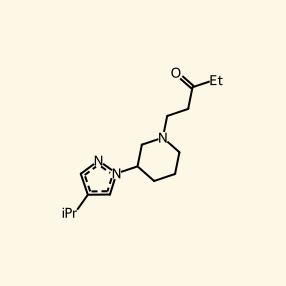 CCC(=O)CCN1CCCC(n2cc(C(C)C)cn2)C1